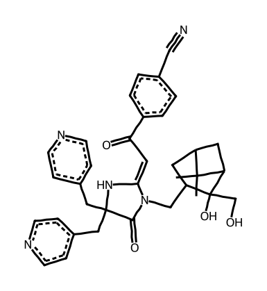 CC1(C)C2CC(CN3C(=O)C(Cc4ccncc4)(Cc4ccncc4)NC3=CC(=O)c3ccc(C#N)cc3)C(O)(CO)C1C2